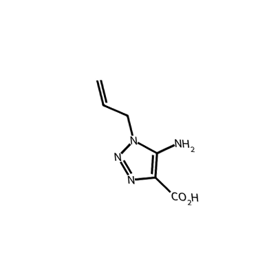 C=CCn1nnc(C(=O)O)c1N